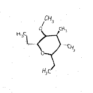 CCC1O[C@H](CC)C(OC)[C@@H](C)[C@@H]1C